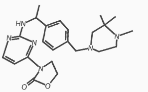 CC(Nc1nccc(N2CCOC2=O)n1)c1ccc(CN2CCN(C)C(C)(C)C2)cc1